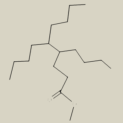 CCCCC(CCCC)C(CCCC)CCC(=O)OC